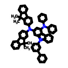 CC1(C)c2ccccc2-c2ccc(N(c3ccc4c(c3)C(C)(C)c3ccccc3-4)c3cc(N(c4ccccc4)c4ccccc4)c4c5ccccc5n(-c5cccc(-c6ccccc6)c5)c4c3)cc21